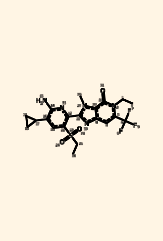 CCn1c(C(F)(F)F)cc2nc(-c3nc(N)c(C4CC4)cc3S(=O)(=O)CC)n(C)c2c1=O